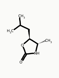 CC(C)C[C@@H]1OC(=O)N[C@H]1C